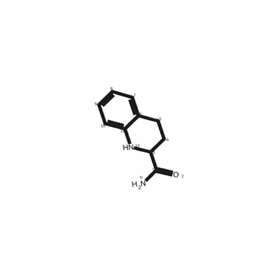 NC(=O)C1C[C]c2ccccc2N1